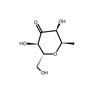 C[C@H]1O[C@H](CO)[C@@H](O)C(=O)[C@H]1O